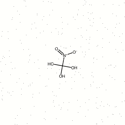 O=[N+]([O-])C(O)(O)O